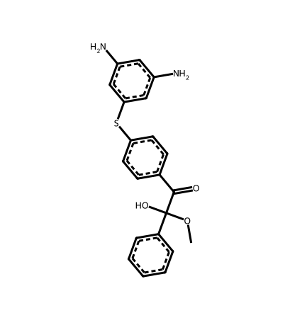 COC(O)(C(=O)c1ccc(Sc2cc(N)cc(N)c2)cc1)c1ccccc1